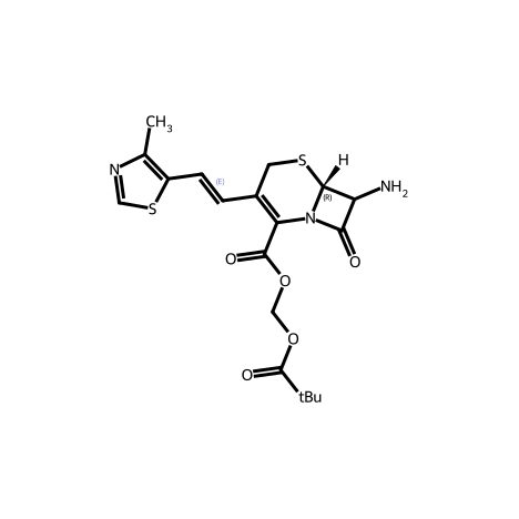 Cc1ncsc1/C=C/C1=C(C(=O)OCOC(=O)C(C)(C)C)N2C(=O)C(N)[C@H]2SC1